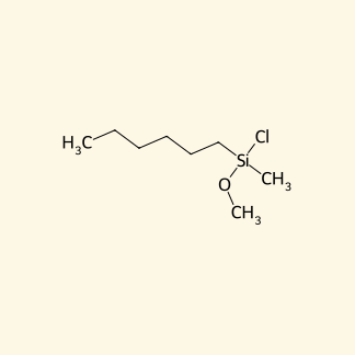 CCCCCC[Si](C)(Cl)OC